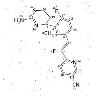 CC1(c2cc(C=C(F)c3ccc(C#N)cn3)ccc2F)CCSC(N)=N1